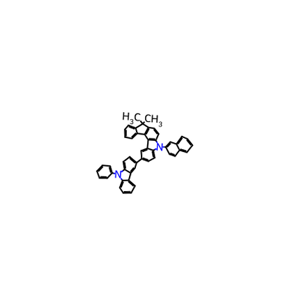 CC1(C)c2ccccc2-c2c1ccc1c2c2cc(-c3ccc4c(c3)c3ccccc3n4-c3ccccc3)ccc2n1-c1ccc2ccccc2c1